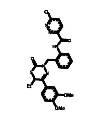 CCC1SC(=O)N(Cc2ccccc2NC(=O)c2ccc(Cl)nn2)N=C1c1ccc(OC)c(OC)c1